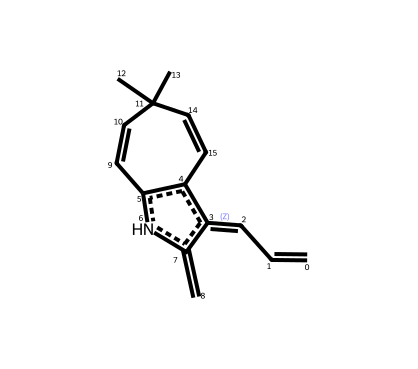 C=C/C=c1/c2c([nH]c1=C)C=CC(C)(C)C=C2